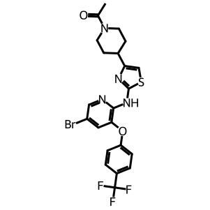 CC(=O)N1CCC(c2csc(Nc3ncc(Br)cc3Oc3ccc(C(F)(F)F)cc3)n2)CC1